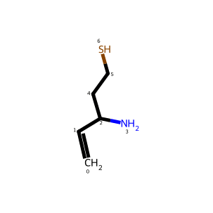 C=CC(N)CCS